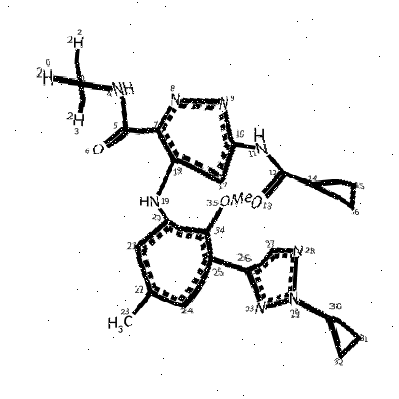 [2H]C([2H])([2H])NC(=O)c1nnc(NC(=O)C2CC2)cc1Nc1cc(C)cc(-c2cnn(C3CC3)n2)c1OC